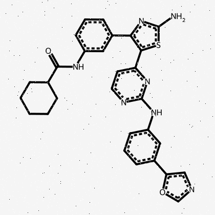 Nc1nc(-c2cccc(NC(=O)C3CCCCC3)c2)c(-c2ccnc(Nc3cccc(-c4cnco4)c3)n2)s1